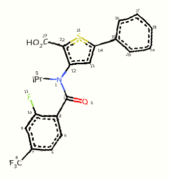 CC(C)N(C(=O)c1ccc(C(F)(F)F)cc1F)c1cc(-c2ccccc2)sc1C(=O)O